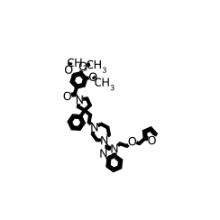 COc1cc(C(=O)N2CCC(CCN3CCCN(c4nc5ccccc5n4CCOCc4ccco4)CC3)(c3ccccc3)C2)cc(OC)c1OC